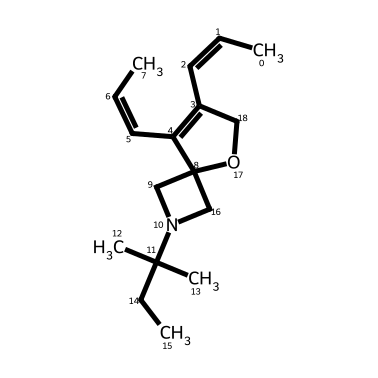 C/C=C\C1=C(/C=C\C)C2(CN(C(C)(C)CC)C2)OC1